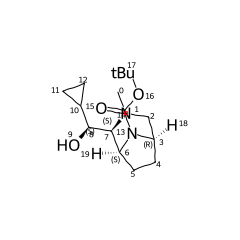 CN1C[C@H]2CC[C@@H]([C@H]1[C@@H](O)C1CC1)N2C(=O)OC(C)(C)C